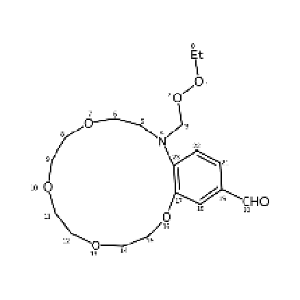 CCOOCN1CCOCCOCCOCCOc2cc(C=O)ccc21